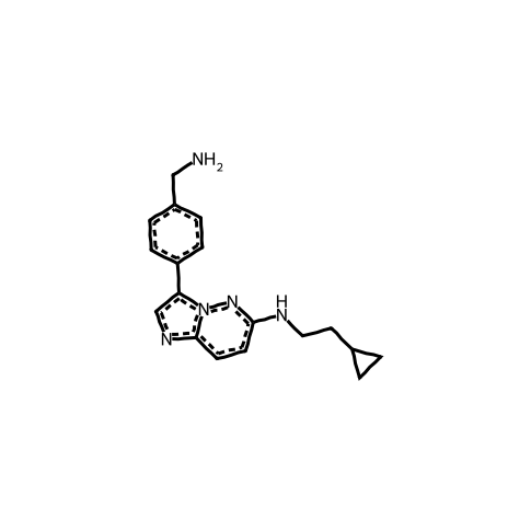 NCc1ccc(-c2cnc3ccc(NCCC4CC4)nn23)cc1